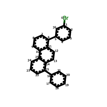 Brc1cccc(-c2cccc3c2ccc2c(-c4ccccc4)cccc23)c1